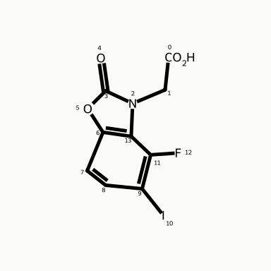 O=C(O)Cn1c(=O)oc2ccc(I)c(F)c21